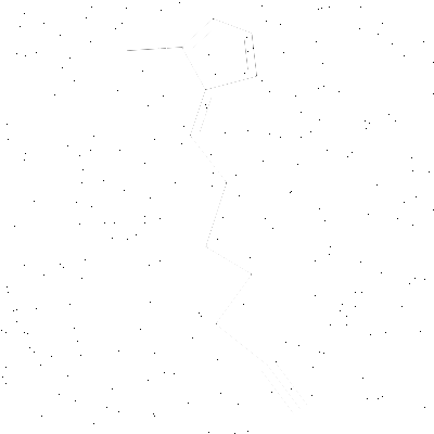 C#CCCCCC=C1C=CC=C1C